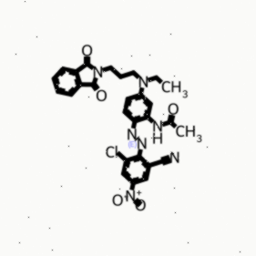 CCN(CCCN1C(=O)c2ccccc2C1=O)c1ccc(/N=N/c2c(Cl)cc([N+](=O)[O-])cc2C#N)c(NC(C)=O)c1